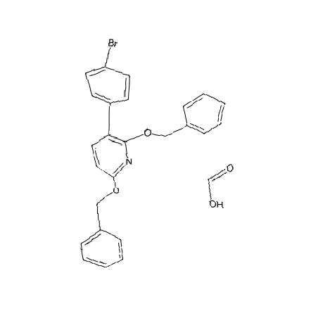 Brc1ccc(-c2ccc(OCc3ccccc3)nc2OCc2ccccc2)cc1.O=CO